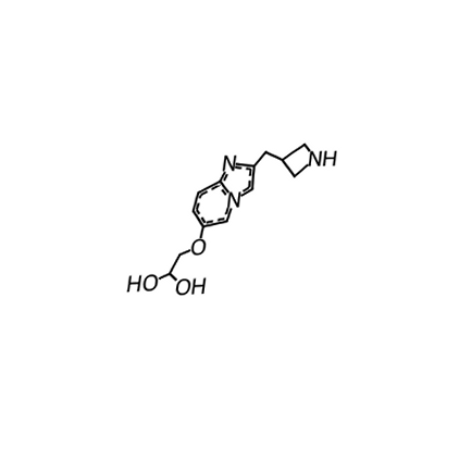 OC(O)COc1ccc2nc(CC3CNC3)cn2c1